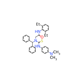 CCc1cccc(CC)c1NC(=O)CN(C(=S)Nc1ccc(N(C)C)cc1)C(c1ccccc1)c1ccccc1